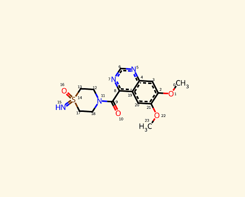 COc1cc2ncnc(C(=O)N3CCS(=N)(=O)CC3)c2cc1OC